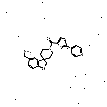 NCc1ccc2c(c1)C1(CCN(C(=O)c3csc(-c4ccncc4)n3)CC1)CO2